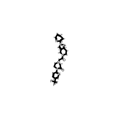 O=C(CN1CCN(c2ccc(C(F)(F)F)cn2)C(=O)C1)N1CCc2nn(-c3ccccn3)cc2C1